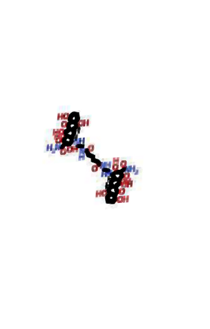 C[C@@]1(O)c2cccc(O)c2C(=O)C2=C(O)[C@]3(O)C(=O)C(C(N)=O)=C(O)[C@@H](NCCNC(=O)CCCCC(=O)NCCN[C@@H]4C(O)=C(C(N)=O)C(=O)[C@@]5(O)C(O)=C6C(=O)c7c(O)cccc7[C@@](C)(O)[C@H]6C[C@@H]45)[C@@H]3C[C@@H]21